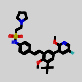 COc1ncc(F)cc1-c1cc(/C=C/c2ccc(NS(=O)(=O)CCN3CCCC3)cc2)c(OC)c(C(C)(C)C)c1